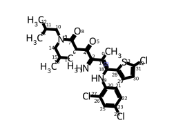 C/C(C(=N)C(=O)CC(=O)N(CC(C)C)CC(C)C)=C(/Nc1ccc(Cl)cc1Cl)c1ccc(Cl)s1